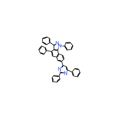 c1ccc(-c2cc(-c3ccc4c(c3)cc(-c3ccccc3)c3c(-c5ccccc5)nn(-c5ccccc5)c34)nc(-c3ccccc3)n2)cc1